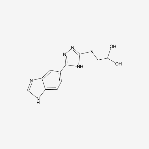 OC(O)CSc1nnc(-c2ccc3[nH]cnc3c2)[nH]1